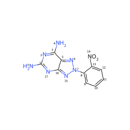 Nc1nc(N)c2nn(-c3ccccc3[N+](=O)[O-])nc2n1